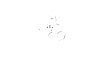 CC(C)(C)OC(=O)N1CCC[C@]1(C)c1nc2cc(Br)sc2c(=O)[nH]1